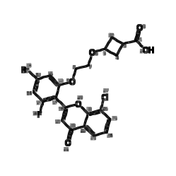 O=C(O)C1CC(OCCOc2cc(Br)cc(F)c2-c2cc(=O)c3cccc(Cl)c3o2)C1